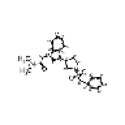 CN(C)C(=O)Cn1cc(C2CCN(S(=O)(=O)Cc3ccccc3)C2)c2ccccc21